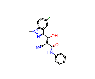 Cn1nc(/C(O)=C(\C#N)C(=O)Nc2ccccc2)c2cc(F)ccc21